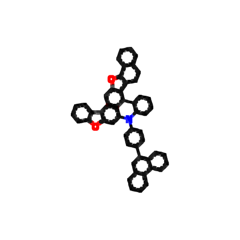 c1ccc(N(c2ccc(-c3cc4ccccc4c4ccccc34)cc2)c2ccc3c(c2)oc2ccccc23)c(-c2cccc3oc4c5ccccc5ccc4c23)c1